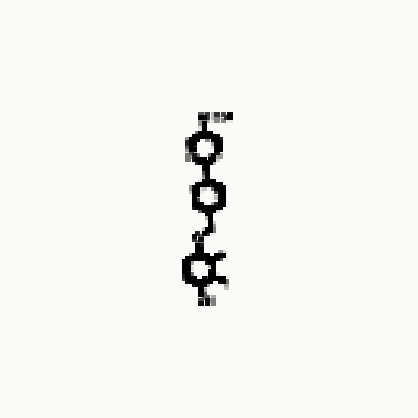 CCCCCCCc1cnc(-c2ccc(COc3ccc(C#N)c(F)c3F)cc2)nc1